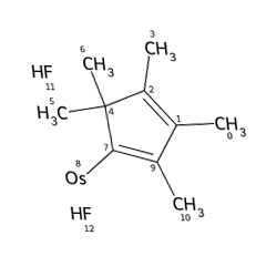 CC1=C(C)C(C)(C)[C]([Os])=C1C.F.F